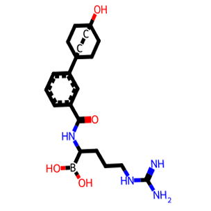 N=C(N)NCCCC(NC(=O)c1cccc(C23CCC(O)(CC2)CC3)c1)B(O)O